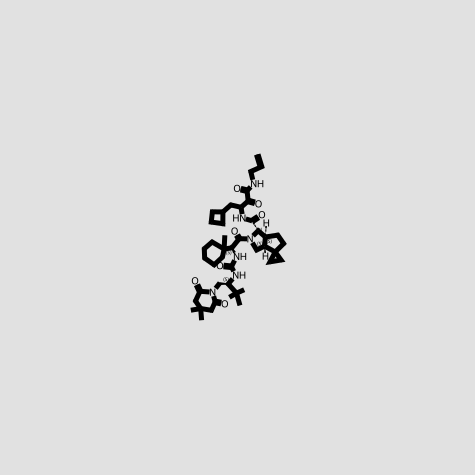 C=CCNC(=O)C(=O)C(CC1CCC1)NC(=O)[C@@H]1[C@H]2CCC3(CC3)[C@H]2CN1C(=O)[C@@H](NC(=O)N[C@H](CN1C(=O)CC(C)(C)CC1=O)C(C)(C)C)C1(C)CCCCC1